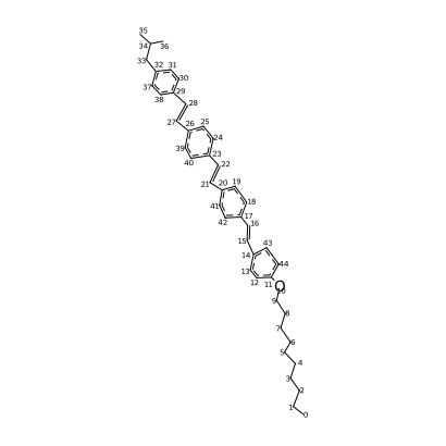 CCCCCCCCCCOc1ccc(C=Cc2ccc(C=Cc3ccc(C=Cc4ccc(CC(C)C)cc4)cc3)cc2)cc1